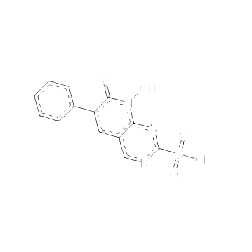 Cn1c(=O)c(-c2ccccc2)cc2cnc(S(C)(=O)=O)nc21